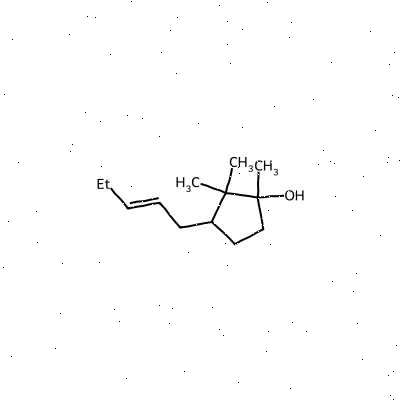 CCC=CCC1CCC(C)(O)C1(C)C